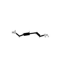 C/C=C/C#CCO